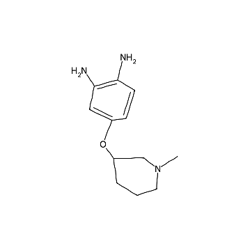 CN1CCCC(Oc2ccc(N)c(N)c2)C1